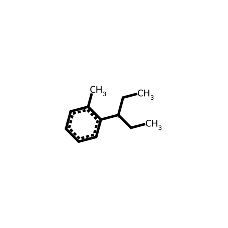 CC[C](CC)c1ccccc1C